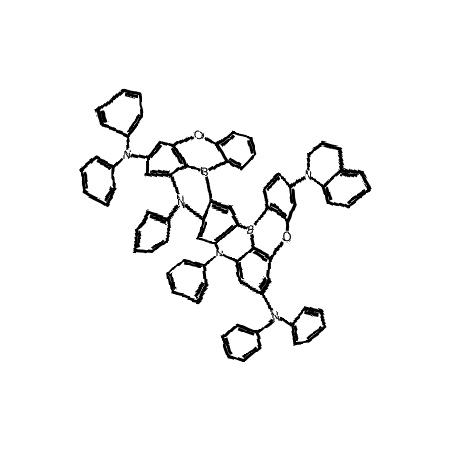 c1ccc(N(c2ccccc2)c2cc3c4c(c2)N(c2ccccc2)c2cc5c(cc2B4c2ccccc2O3)B2c3ccc(N4CCCc6ccccc64)cc3Oc3cc(N(c4ccccc4)c4ccccc4)cc(c32)N5c2ccccc2)cc1